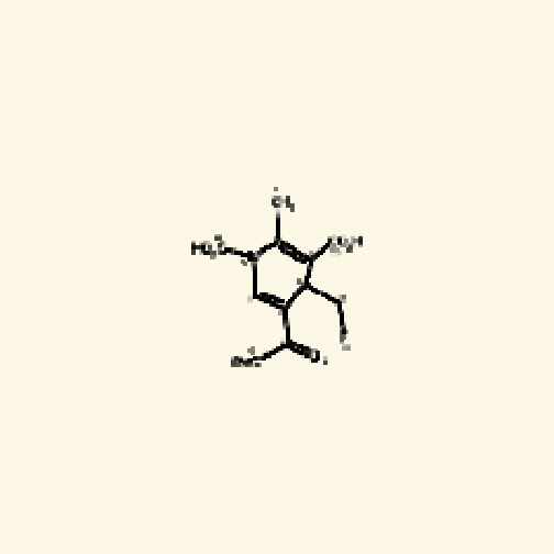 COC(=O)C1=CN(C(=O)O)C(C)=C(C(=O)O)C1CF